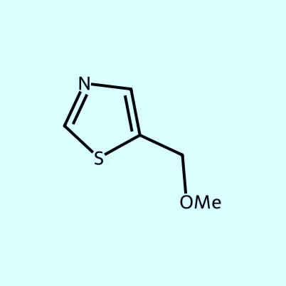 [CH2]OCc1cncs1